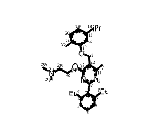 CCc1cccc(CC)c1-c1nc(C)c(COc2cc(C(C)C)ccc2C)c(OCCN(C)C)n1